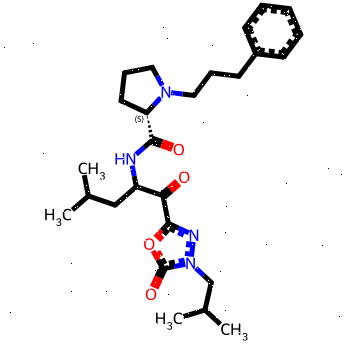 CC(C)CC(NC(=O)[C@@H]1CCCN1CCCc1ccccc1)C(=O)c1nn(CC(C)C)c(=O)o1